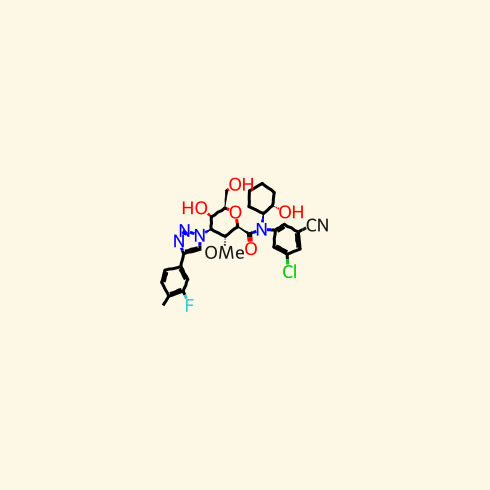 CO[C@@H]1[C@@H](n2cc(-c3ccc(C)c(F)c3)nn2)[C@@H](O)[C@@H](CO)O[C@H]1C(=O)N(c1cc(Cl)cc(C#N)c1)[C@H]1CCCC[C@@H]1O